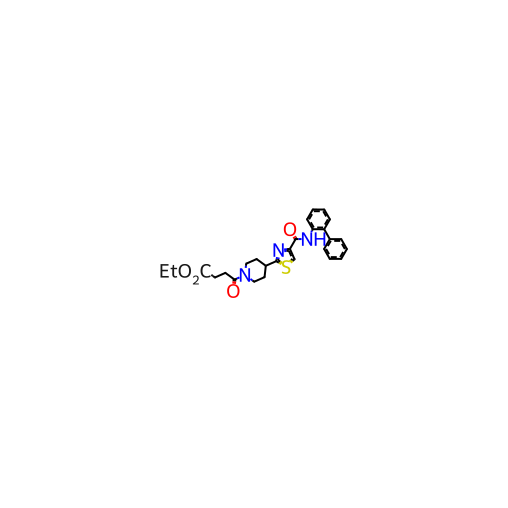 CCOC(=O)CCC(=O)N1CCC(c2nc(C(=O)Nc3ccccc3-c3ccccc3)cs2)CC1